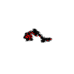 CC1C=CC2=C(C1)C1(c3ccccc32)c2ccccc2-c2cccc(N(c3ccccc3)c3ccc4c(c3)C(C)(c3ccccc3)c3ccc(-c5ccc6c(c5)-c5ccccc5C65c6ccccc6-c6c(-c7ccc(-c8ccc(N(c9ccccc9)c9ccc%10c(c9)C(C)(C)c9ccccc9-%10)cc8)cc7)cccc65)cc3-4)c21